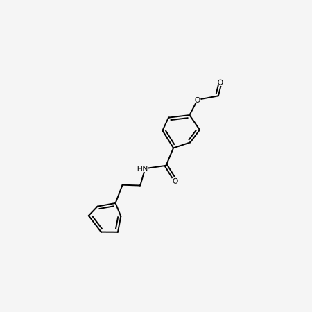 O=COc1ccc(C(=O)NCCc2ccccc2)cc1